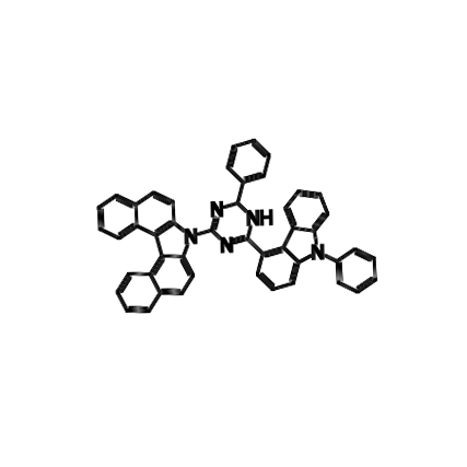 c1ccc(C2N=C(n3c4ccc5ccccc5c4c4c5ccccc5ccc43)N=C(c3cccc4c3c3ccccc3n4-c3ccccc3)N2)cc1